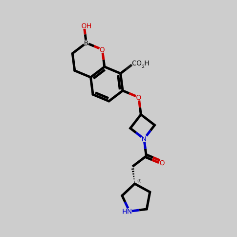 O=C(O)c1c(OC2CN(C(=O)C[C@@H]3CCNC3)C2)ccc2c1OB(O)CC2